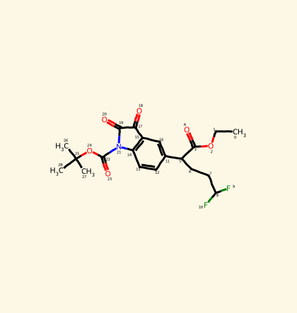 CCOC(=O)C(CCC(F)F)c1ccc2c(c1)C(=O)C(=O)N2C(=O)OC(C)(C)C